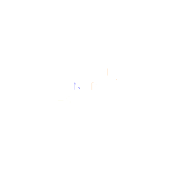 P/P=N/S